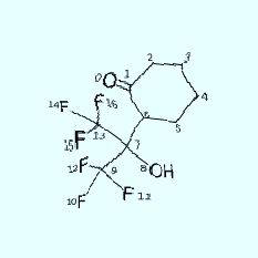 O=C1CCCCC1C(O)(C(F)(F)F)C(F)(F)F